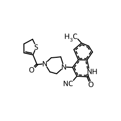 Cc1ccc2[nH]c(=O)c(C#N)c(N3CCN(C(=O)C4=CCCS4)CC3)c2c1